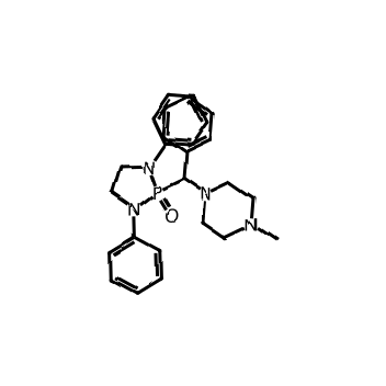 CN1CCN(C(c2ccccc2)P2(=O)N(c3ccccc3)CCN2c2ccccc2)CC1